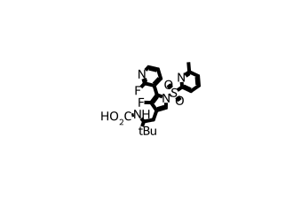 Cc1cccc(S(=O)(=O)n2cc(CC(NC(=O)O)C(C)(C)C)c(F)c2-c2cccnc2F)n1